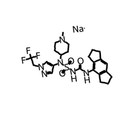 CN1CCC(N(c2cnn(CC(F)(F)F)c2)S(=O)(=O)NC(=O)Nc2c3c(cc4c2CCC4)CCC3)CC1.[Na]